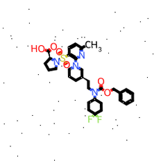 Cc1ccc(S(=O)(=O)N2CCC[C@H]2C(=O)O)c(N2CCC[C@H](CCN(C(=O)OCc3ccccc3)C3CCC(F)(F)CC3)C2)n1